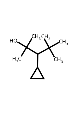 CC(C)(C)C(C1CC1)C(C)(C)O